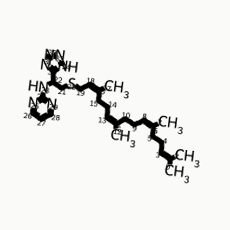 CC(C)=CCCC(C)=CCCC(C)=CCCC(C)=CCSCC(Nc1ncccn1)c1nnn[nH]1